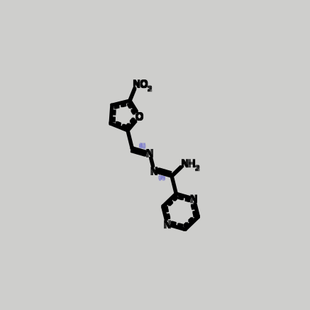 N/C(=N\N=C\c1ccc([N+](=O)[O-])o1)c1cnccn1